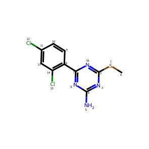 CSc1nc(N)nc(-c2ccc(Cl)cc2Cl)n1